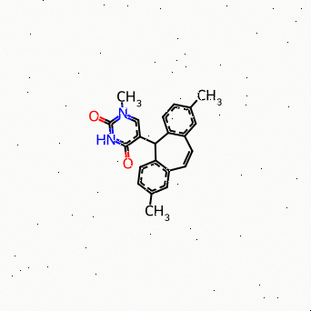 Cc1ccc2c(c1)C=Cc1cc(C)ccc1C2c1cn(C)c(=O)[nH]c1=O